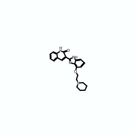 O=c1[nH]c2ccccc2cc1-c1nc2c(OCCN3CCCCC3)cccc2[nH]1